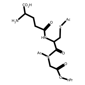 CCCOC(=O)CN(C(C)=O)C(=O)C(CSC(C)=O)NC(=O)CCC(N)C(=O)O